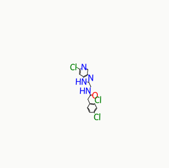 O=C(Cc1ccc(Cl)cc1Cl)NCc1nc2cnc(Cl)cc2[nH]1